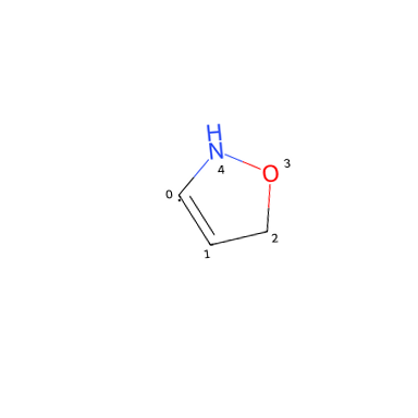 [C]1=CCON1